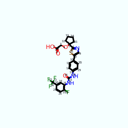 O=C(O)COC1(c2ncc(-c3ccc(NC(=O)Nc4cc(C(F)(F)F)ccc4F)cc3)s2)CCCC1